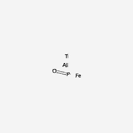 O=[P].[Al].[Fe].[Ti]